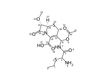 CCSC(N)C(=O)NC(OC(C)=O)C1=C(C(=O)O)N2C(=O)[C@H](OC)[C@H]2SC1